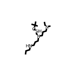 CCCNCCCN(CCCN(C)CC)C[SiH2]OC(C)(C)C